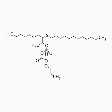 CCCCCCCCCCCCSC(CCCCCCC)C(C)O[PH](=O)OC(=O)OOCCC